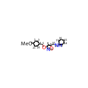 COc1ccc(COc2cc(CNc3ccccc3)on2)cc1